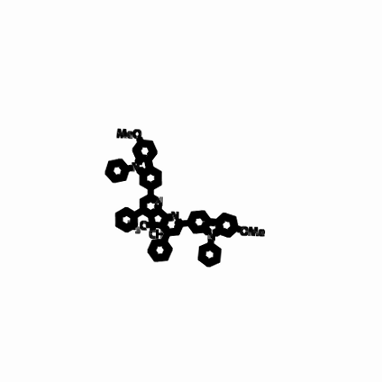 COc1ccc2c3ccc(-c4cc(-c5ccccc5)c5c(n4)-c4nc(-c6ccc7c8ccc(OC)cc8n(-c8ccccc8)c7c6)cc(-c6ccccc6)c4C5(C)C)cc3n(-c3ccccc3)c2c1